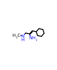 CNC/C(N)=C/C1CCCCC1